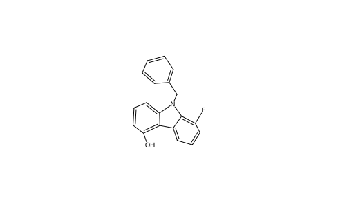 Oc1cccc2c1c1cccc(F)c1n2Cc1ccccc1